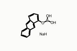 OB(O)Oc1cccc2cc3ccccc3cc12.[NaH]